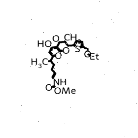 CCOCc1ccc(CC(C)C(=O)c2c(O)cc(C(C)CC/C=C/NC(=O)OC)oc2=O)s1